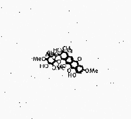 COc1cc(O)c2c(c1)C(=O)c1cc3c(c(O)c1C2=O)C(OC1OC(C)C(OC)C(O)C1OC)C(OC)C(C)(O)C3=O